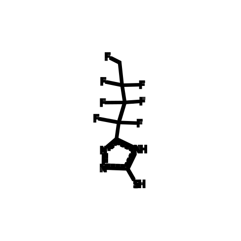 FCC(F)(F)C(F)(F)C(F)(F)c1nnc(S)[nH]1